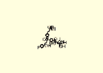 CS(=O)(=O)NCCCc1ccc(N2C(=O)[C@H](CC[C@H](O)c3ccc(F)cc3)[C@H]2c2ccc(C(O)C(O)CCC(O)(CO)CO)cc2)cc1